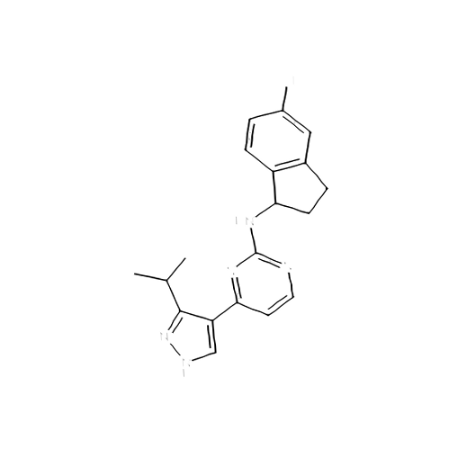 CC(C)c1n[nH]cc1-c1ccnc(NC2CCc3cc(Cl)ccc32)n1